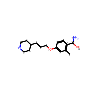 Cc1cc(OCCCC2CCNCC2)ccc1C(N)O